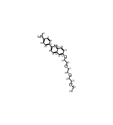 CN(C)c1ccc(-c2ccc3cc(OCCOCCOCCOSI)ccc3n2)cc1